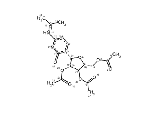 CC(=O)OC[C@H]1O[C@@H](n2cnc(N[SiH](C)C)nc2=O)[C@@H](OC(C)=O)C1OC(C)=O